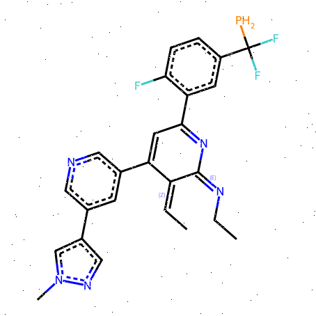 C/C=C1/C(c2cncc(-c3cnn(C)c3)c2)=CC(c2cc(C(F)(F)P)ccc2F)=N/C1=N/CC